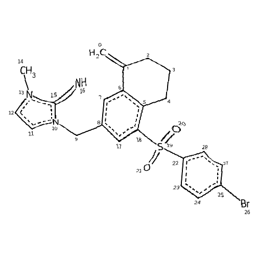 C=C1CCCc2c1cc(Cn1ccn(C)c1=N)cc2S(=O)(=O)c1ccc(Br)cc1